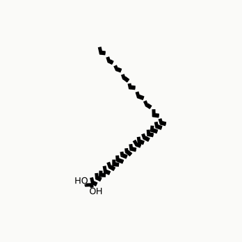 C=CC.C=CC.C=CC.C=CC.C=CC.C=CC.C=CC.C=CC.C=CC.C=CC.C=CC.C=CC.C=CC.C=CC.C=CC.C=CC.C=CC.C=CC.C=CC.C=CC.C=CC.C=CC.C=CC.C=CC.C=CC.OCCO